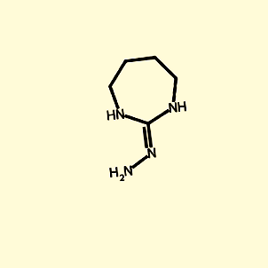 NN=C1NCCCCN1